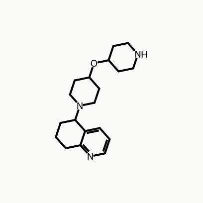 c1cnc2c(c1)C(N1CCC(OC3CCNCC3)CC1)CCC2